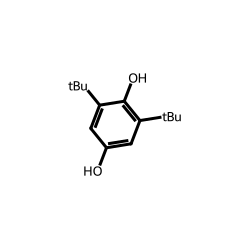 CC(C)(C)c1cc(O)cc(C(C)(C)C)c1O